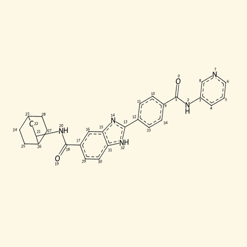 O=C(Nc1cccnc1)c1ccc(-c2nc3cc(C(=O)NC4CC5CCC4CC5)ccc3[nH]2)cc1